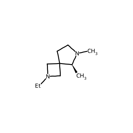 CCN1CC2(CCN(C)[C@H]2C)C1